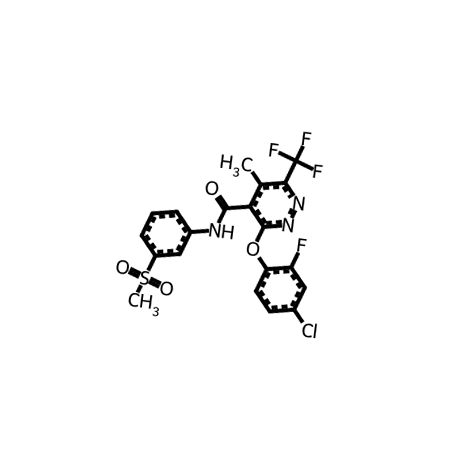 Cc1c(C(F)(F)F)nnc(Oc2ccc(Cl)cc2F)c1C(=O)Nc1cccc(S(C)(=O)=O)c1